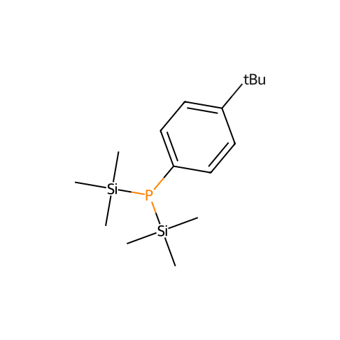 CC(C)(C)c1ccc(P([Si](C)(C)C)[Si](C)(C)C)cc1